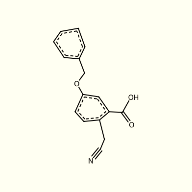 N#CCc1ccc(OCc2ccccc2)cc1C(=O)O